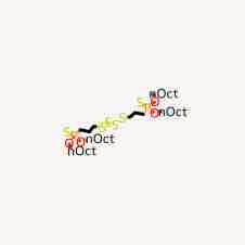 CCCCCCCCOP(=S)(CCCSSSSCCCP(=S)(OCCCCCCCC)OCCCCCCCC)OCCCCCCCC